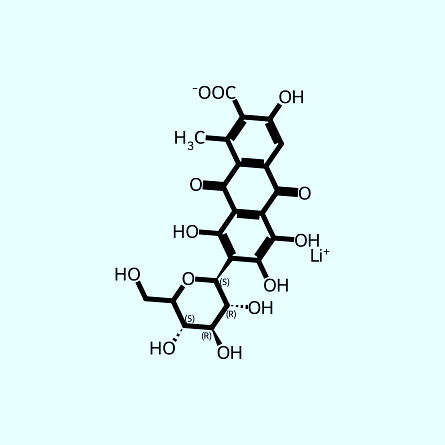 Cc1c(C(=O)[O-])c(O)cc2c1C(=O)c1c(O)c([C@@H]3OC(CO)[C@@H](O)[C@H](O)[C@H]3O)c(O)c(O)c1C2=O.[Li+]